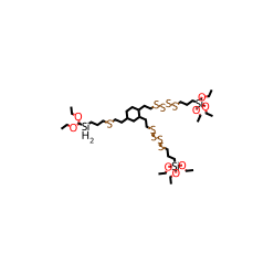 CCOC(OCC)[SiH2]CCCSCCC1CCC(CCSSSSCCC[Si](OCC)(OCC)OCC)C(CCSSSSCCC[Si](OCC)(OCC)OCC)C1